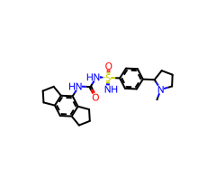 CN1CCCC1c1ccc([S@](=N)(=O)NC(=O)Nc2c3c(cc4c2CCC4)CCC3)cc1